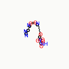 Cn1c2ccncc2c2ccc(-c3ccc(OC4CC(Oc5ccc(CCCCCCOc6ccc7c(c6)C(=O)N(C6CCC(=O)NC6=O)C7=O)cn5)C4)nc3)cc21